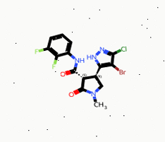 CN1C[C@H](c2[nH]nc(Cl)c2Br)[C@@H](C(=O)Nc2cccc(F)c2F)C1=O